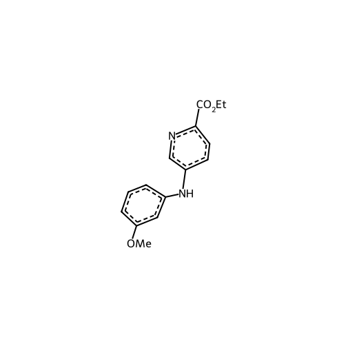 CCOC(=O)c1ccc(Nc2cccc(OC)c2)cn1